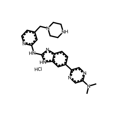 CN(C)c1cnc(-c2ccc3nc(Nc4cc(CN5CCNCC5)ccn4)[nH]c3c2)cn1.Cl